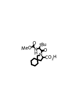 COC(=O)NC(C(=O)N1CC2(CCCCC2)CC1C(=O)O)C(C)(C)C